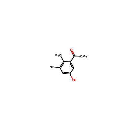 COC(=O)c1cc(O)cc(C#N)c1OC